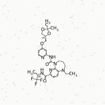 CCN1CCCN(C(=O)Nc2cc(OC[C@H]3COC(C)(C)O3)ccn2)c2nc(C(=O)N[C@H](C)C(F)(F)F)ccc21